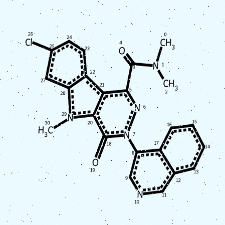 CN(C)C(=O)c1nn(-c2cncc3ccccc23)c(=O)c2c1c1ccc(Cl)cc1n2C